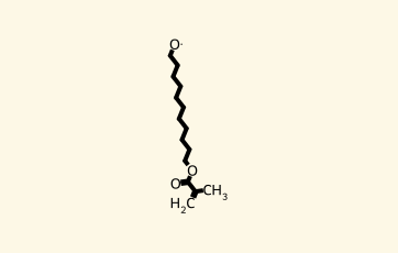 C=C(C)C(=O)OCCCCCCCCCCC[O]